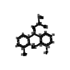 CC(C)(C)[S+]([O-])N=C(c1ccnc(Br)c1)c1cccc(F)c1C#N